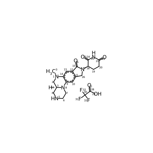 CN1C[C@@H]2CNCCN2c2cc3c(cc21)C(=O)N(C1CCC(=O)NC1=O)C3.O=C(O)C(F)(F)F